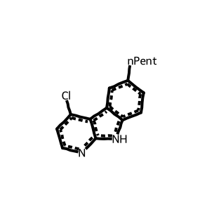 CCCCCc1ccc2[nH]c3nccc(Cl)c3c2c1